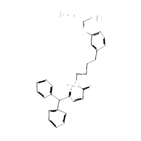 C[C@H](Oc1cccc(CCCCn2nc(C(c3ccccc3)c3ccccc3)ccc2=O)c1)C(=O)O